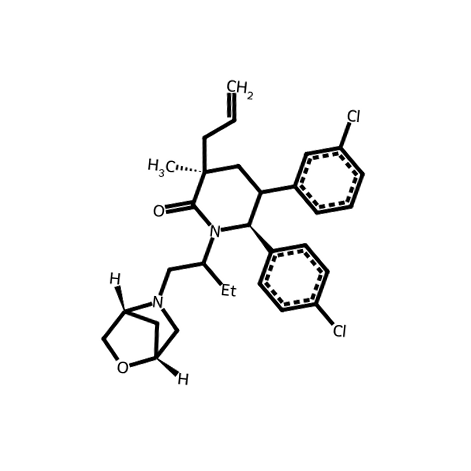 C=CC[C@@]1(C)CC(c2cccc(Cl)c2)[C@@H](c2ccc(Cl)cc2)N(C(CC)CN2C[C@H]3C[C@@H]2CO3)C1=O